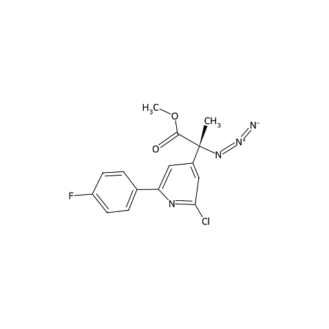 COC(=O)[C@](C)(N=[N+]=[N-])c1cc(Cl)nc(-c2ccc(F)cc2)c1